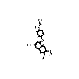 COc1cc2nc(N)cc(Oc3ccc(NC=O)nc3)c2cc1OC